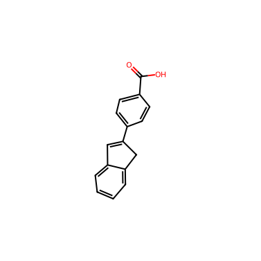 O=C(O)c1ccc(C2=Cc3ccccc3C2)cc1